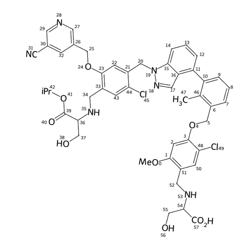 COc1cc(OCc2cccc(-c3cccc4c3cnn4Cc3cc(OCc4cncc(C#N)c4)c(CNC(CO)C(=O)OC(C)C)cc3Cl)c2C)c(Cl)cc1CNC(CO)C(=O)O